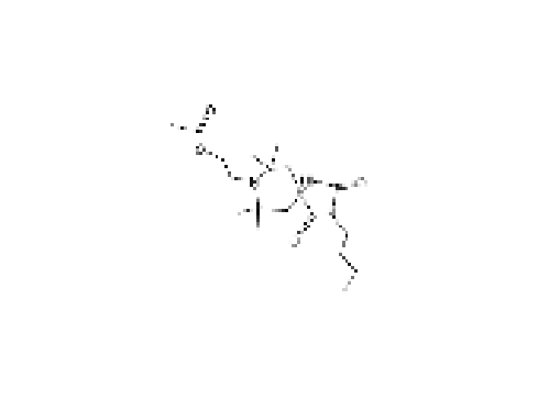 CCCCN1C(=O)NC2(CC(C)(C)N(CCOC(C)=O)C(C)(C)C2)C1=O